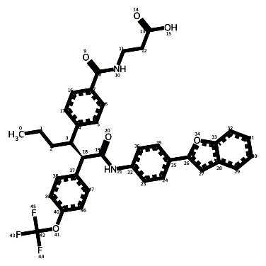 CCCC(c1ccc(C(=O)NCCC(=O)O)cc1)[C@@H](C(=O)Nc1ccc(-c2cc3ccccc3o2)cc1)c1ccc(OC(F)(F)F)cc1